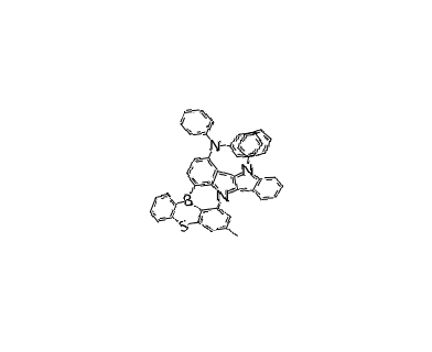 Cc1cc2c3c(c1)-n1c4c(ccc(N(c5ccccc5)c5ccccc5)c4c4c1c1ccccc1n4-c1ccccc1)B3c1ccccc1S2